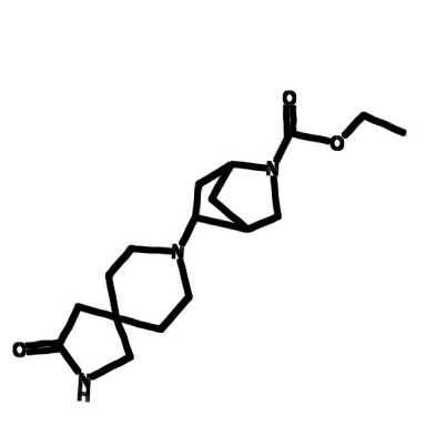 CCOC(=O)N1CC2CC1CC2N1CCC2(CC1)CNC(=O)C2